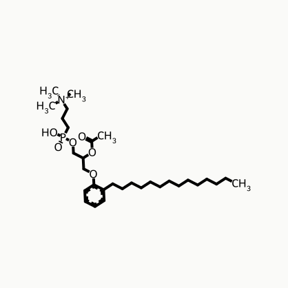 CCCCCCCCCCCCCCc1ccccc1OCC(COP(=O)(O)CCC[N+](C)(C)C)OC(C)=O